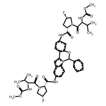 COC(=O)N[C@H](C(=O)N1C[C@H](F)C[C@H]1C(=O)Nc1ccc2c(c1)OC(c1ccccc1)n1c-2cc2cc(NC(=O)[C@@H]3C[C@H](F)CN3C(=O)[C@@H](NC(=O)OC)C(C)C)ccc21)C(C)C